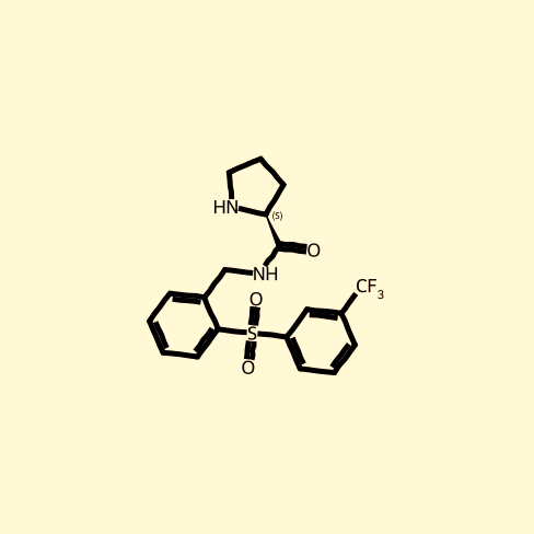 O=C(NCc1ccccc1S(=O)(=O)c1cccc(C(F)(F)F)c1)[C@@H]1CCCN1